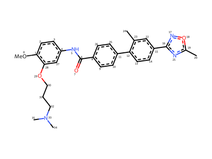 COc1ccc(NC(=O)c2ccc(-c3ccc(-c4noc(C)n4)cc3C)cc2)cc1OCCCN(C)C